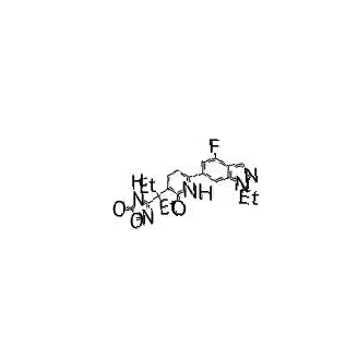 CCn1ncc2c(F)cc(-c3ccc(C(CC)(CC)c4noc(=O)[nH]4)c(=O)[nH]3)cc21